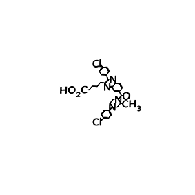 CC1CN(c2ccc(Cl)cc2)CCN1C(=O)c1ccc2nc(-c3ccc(Cl)cc3)c(CCCCC(=O)O)nc2c1